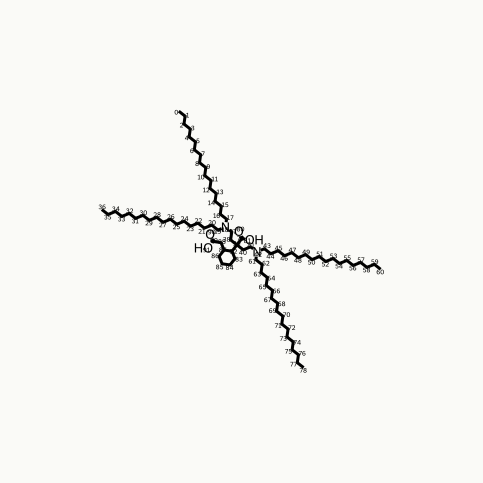 CCCCCCCCCCCCCCCCCCN(CCCCCCCCCCCCCCCCCC)CCC(CCN(CCCCCCCCCCCCCCCCCC)CCCCCCCCCCCCCCCCCC)(C(=O)O)C1CCCCC1CC(=O)O